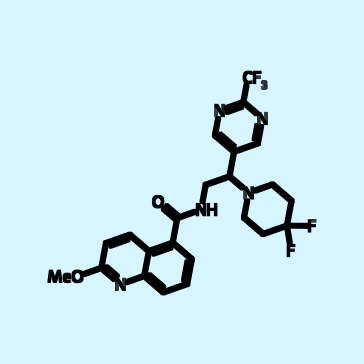 COc1ccc2c(C(=O)NCC(c3cnc(C(F)(F)F)nc3)N3CCC(F)(F)CC3)cccc2n1